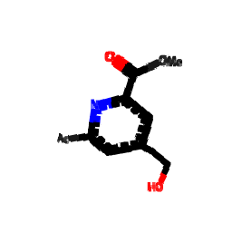 COC(=O)c1cc(CO)cc(C(C)=O)n1